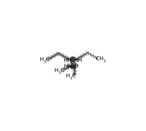 CCCCCCCC/C=C\CCCCCCCCNC(=O)c1cc(C(=O)NCCCCCC)c(C(=O)NCCCCCC)cc1C(=O)NCCCCCCCC/C=C\CCCCCCCC